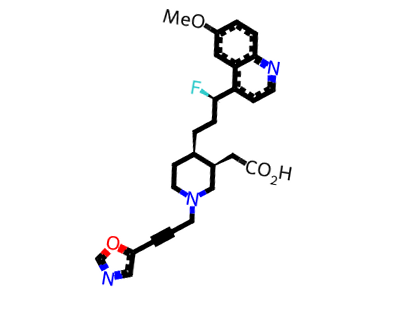 COc1ccc2nccc([C@H](F)CC[C@@H]3CCN(CC#Cc4cnco4)C[C@@H]3CC(=O)O)c2c1